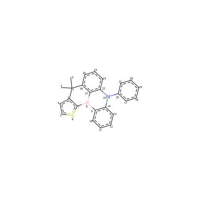 CC1(C)c2ccsc2B2c3ccccc3N(c3ccccc3)c3cccc1c32